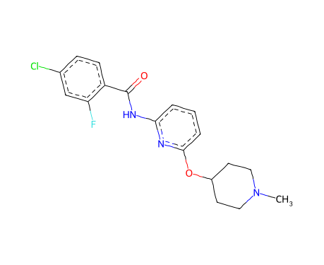 CN1CCC(Oc2cccc(NC(=O)c3ccc(Cl)cc3F)n2)CC1